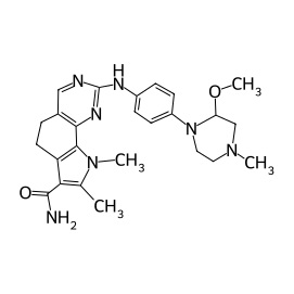 COC1CN(C)CCN1c1ccc(Nc2ncc3c(n2)-c2c(c(C(N)=O)c(C)n2C)CC3)cc1